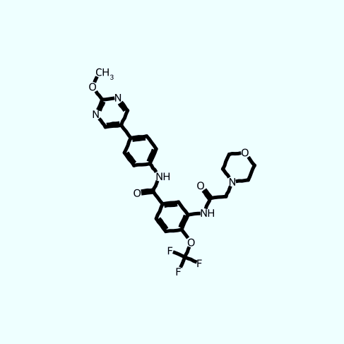 COc1ncc(-c2ccc(NC(=O)c3ccc(OC(F)(F)F)c(NC(=O)CN4CCOCC4)c3)cc2)cn1